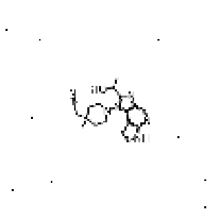 CC(O)c1nc2cnc3[nH]ccc3c2n1N1CCC(C)(CC#N)CC1